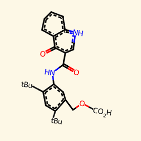 CC(C)(C)c1cc(C(C)(C)C)c(NC(=O)c2c[nH]c3ccccc3c2=O)cc1COC(=O)O